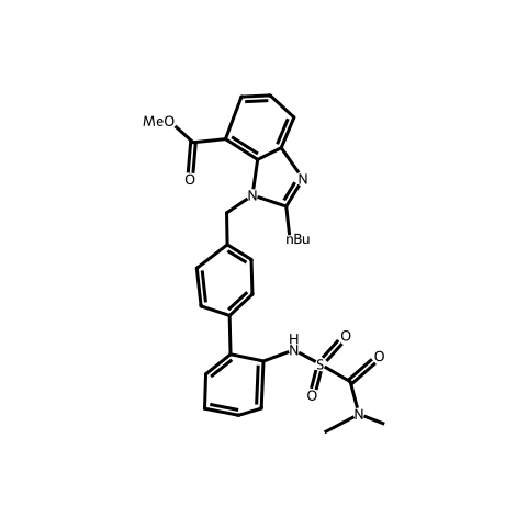 CCCCc1nc2cccc(C(=O)OC)c2n1Cc1ccc(-c2ccccc2NS(=O)(=O)C(=O)N(C)C)cc1